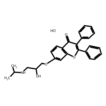 CC(C)NCC(O)COc1ccc2c(=O)c(-c3ccccc3)c(-c3ccccc3)oc2c1.Cl